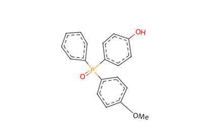 COc1ccc(P(=O)(c2ccccc2)c2ccc(O)cc2)cc1